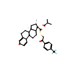 CC(C)C(=O)O[C@]1(C(=O)SCC(=O)c2ccc(C(F)(F)F)cc2)[C@H](C)C[C@H]2[C@@H]3C[C@H](F)C4=CC(=O)C=C[C@]4(C)[C@@]3(F)[C@@H](O)C[C@@]21C